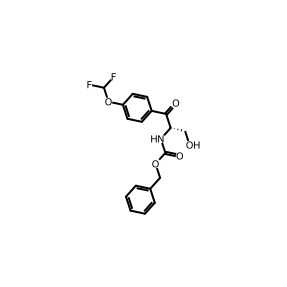 O=C(N[C@@H](CO)C(=O)c1ccc(OC(F)F)cc1)OCc1ccccc1